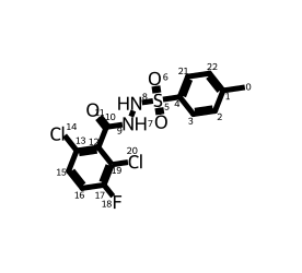 Cc1ccc(S(=O)(=O)NNC(=O)c2c(Cl)ccc(F)c2Cl)cc1